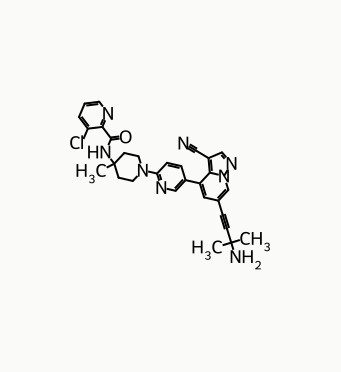 CC(C)(N)C#Cc1cc(-c2ccc(N3CCC(C)(NC(=O)c4ncccc4Cl)CC3)nc2)c2c(C#N)cnn2c1